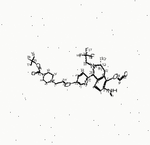 CNc1ccc2c(c1OC=O)C[C@@H](C)N(CC(F)(F)F)C2c1ccc(OCCN2CCN(C(=O)OC(C)(C)C)CC2)cn1